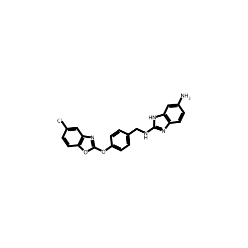 Nc1ccc2nc(NCc3ccc(Oc4nc5cc(Cl)ccc5o4)cc3)[nH]c2c1